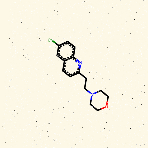 Brc1ccc2nc(CCN3CCOCC3)ccc2c1